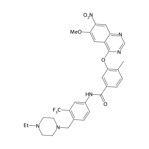 CCN1CCN(Cc2ccc(NC(=O)c3ccc(C)c(Oc4ncnc5cc([N+](=O)[O-])c(OC)cc45)c3)cc2C(F)(F)F)CC1